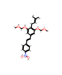 COCOc1cc(C=Cc2ccc([N+](=O)[O-])cc2)cc(OCOC)c1CC=C(C)C